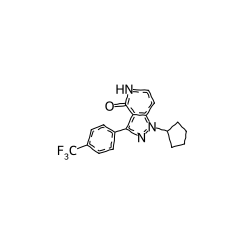 O=c1[nH]ccc2c1c(-c1ccc(C(F)(F)F)cc1)nn2C1CCCC1